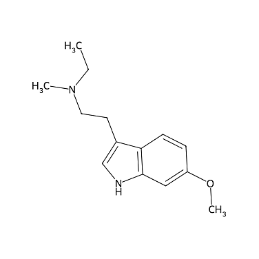 CCN(C)CCc1c[nH]c2cc(OC)ccc12